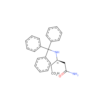 NC(=O)C[C@@H](CC(=O)O)NC(c1ccccc1)(c1ccccc1)c1ccccc1